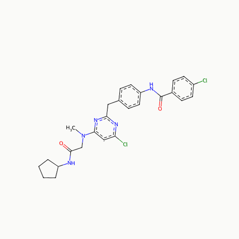 CN(CC(=O)NC1CCCC1)c1[c]c(Cl)nc(Cc2ccc(NC(=O)c3ccc(Cl)cc3)cc2)n1